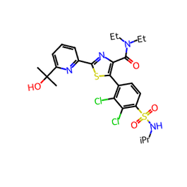 CCN(CC)C(=O)c1nc(-c2cccc(C(C)(C)O)n2)sc1-c1ccc(S(=O)(=O)NC(C)C)c(Cl)c1Cl